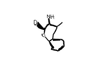 Cc1c([NH])c(=O)oc2c[c]ccc12